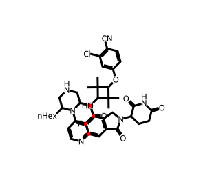 CCCCCCC1CNCC(Oc2c(F)ccc3c2CN(C2CCC(=O)NC2=O)C3=O)N1c1ccncc1C(=O)NC1C(C)(C)C(Oc2ccc(C#N)c(Cl)c2)C1(C)C